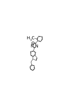 Cc1ccccc1-c1nc(-c2ccc3c(c2)C=CC3Cc2ccccc2)no1